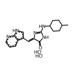 CC1CCC(NC2=N/C(=C\c3c[nH]c4ncccc34)C(=O)N2)CC1.Cl.Cl